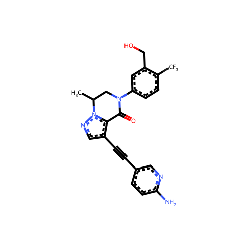 CC1CN(c2ccc(C(F)(F)F)c(CO)c2)C(=O)c2c(C#Cc3ccc(N)nc3)cnn21